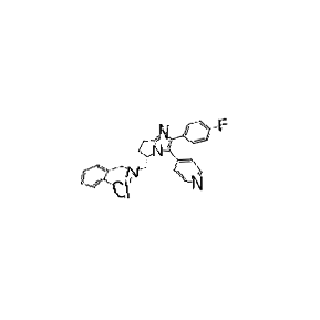 CN(Cc1ccccc1Cl)C[C@@H]1CCc2nc(-c3ccc(F)cc3)c(-c3ccncc3)n21